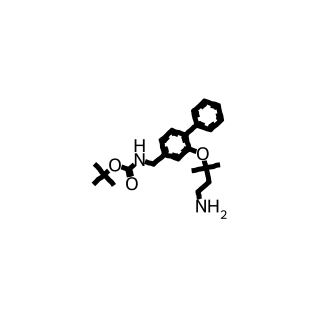 CC(C)(C)OC(=O)NCc1ccc(-c2ccccc2)c(OC(C)(C)CCN)c1